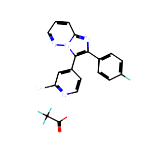 CC(=O)Nc1cc(-c2c(-c3ccc(F)cc3)nc3cccnn23)ccn1.O=C(O)C(F)(F)F